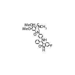 COc1ccc(C(=O)N(CCN(C)C)c2ccc(NC(=C3C(=O)Nc4cc(F)ccc43)c3ccccc3)cc2)cc1OC